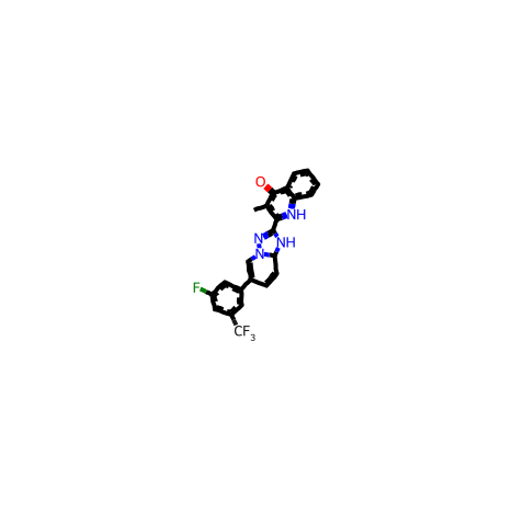 Cc1c(C2=NN3C=C(c4cc(F)cc(C(F)(F)F)c4)C=CC3N2)[nH]c2ccccc2c1=O